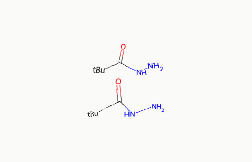 CC(C)(C)C(=O)NN.CC(C)(C)C(=O)NN